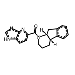 O=C(c1ccc2[nH]cnc2n1)N1CCC[C@H]2c3ccccc3C[C@H]21